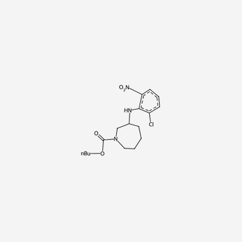 CCCCOC(=O)N1CCCCC(Nc2c(Cl)cccc2[N+](=O)[O-])C1